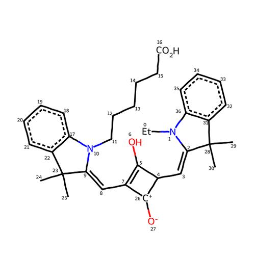 CCN1C(=CC2C(O)=C(C=C3N(CCCCCC(=O)O)c4ccccc4C3(C)C)[C+]2[O-])C(C)(C)c2ccccc21